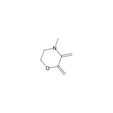 C=C1OCCN(C)C1=C